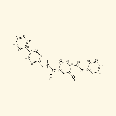 O=c1cc(C(O)NCc2ccc(-c3ccccc3)cc2)occ1OCc1ccccc1